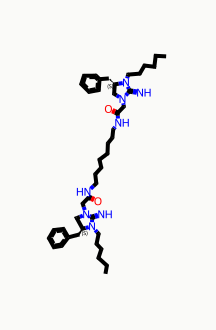 CCCCCCN1C(=N)N(CC(=O)NCCCCCCCCNC(=O)CN2C[C@H](Cc3ccccc3)N(CCCCCC)C2=N)C[C@@H]1Cc1ccccc1